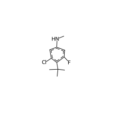 CNc1cc(F)c(C(C)(C)C)c(Cl)c1